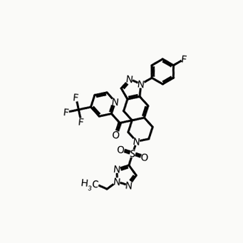 CCn1ncc(S(=O)(=O)N2CCC3=Cc4c(cnn4-c4ccc(F)cc4)CC3(C(=O)c3cc(C(F)(F)F)ccn3)C2)n1